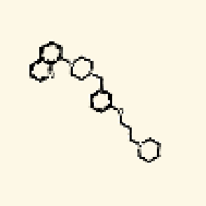 c1cc(CN2CCN(c3cccc4cccnc34)CC2)cc(OCCCN2CCCCC2)c1